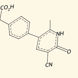 Cc1[nH]c(=O)c(C#N)cc1-c1ccc(CC(=O)O)cc1